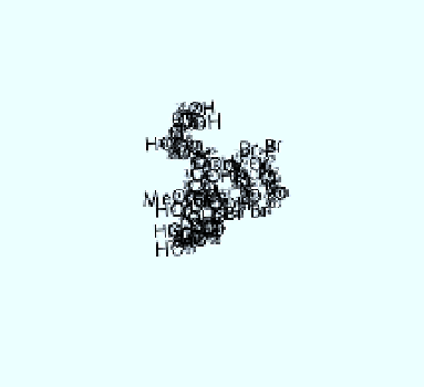 CO[C@H](C(=O)[C@@H](O)[C@@H](C)O)C1Cc2cc3cc(O[C@H]4C[C@@H](O[C@H]5C[C@@H](O)[C@H](O)[C@@H](C)O5)[C@@H](O)[C@@H](C)O4)c(C)c(O)c3c(O)c2C(=O)[C@H]1O[C@H]1C[C@@H](O[C@H]2C[C@@H](O[C@H]3C[C@](C)(O)[C@H](O)[C@@H](C)O3)[C@H](O)[C@@H](C)O2)[C@H](O)[C@@H](C)O1.O=C(CCBr)N1CCN(C(=O)CCBr)CC1.O=C(CCBr)N1CCN(C(=O)CCBr)CC1